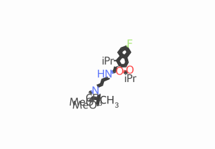 COCC(C)(COC)CN(CCCCNCC[C@@]1(OC(=O)C(C)C)CCc2cc(F)ccc2[C@@H]1C(C)C)CC(F)(F)F